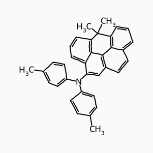 Cc1ccc(N(c2ccc(C)cc2)c2cc3ccc4cccc5c4c3c3c(cccc23)C5(C)C)cc1